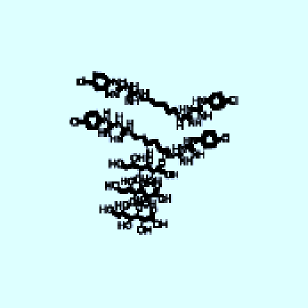 N=C(NCCCCCCNC(=N)NC(=N)Nc1ccc(Cl)cc1)NC(=N)Nc1ccc(Cl)cc1.N=C(NCCCCCCNC(=N)NC(=N)Nc1ccc(Cl)cc1)NC(=N)Nc1ccc(Cl)cc1.O=C(O)[C@H](O)[C@@H](O)[C@H](O)[C@H](O)CO.O=C(O)[C@H](O)[C@@H](O)[C@H](O)[C@H](O)CO.O=C(O)[C@H](O)[C@@H](O)[C@H](O)[C@H](O)CO